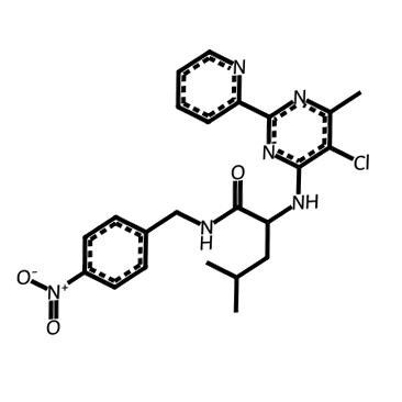 Cc1nc(-c2ccccn2)nc(NC(CC(C)C)C(=O)NCc2ccc([N+](=O)[O-])cc2)c1Cl